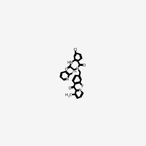 Cc1cccnc1C(=O)c1ccc(CN2C(=O)c3ccc(Cl)cc3NC(=O)[C@H]2Cc2ccccn2)cc1F